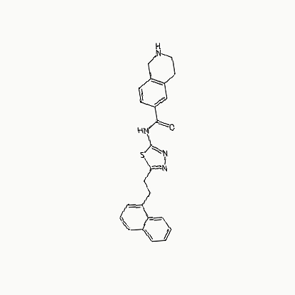 O=C(Nc1nnc(CCc2cccc3ccccc23)s1)c1ccc2c(c1)CCNC2